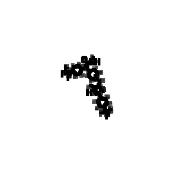 CNC(=O)N(c1ccc(C(F)(F)F)cc1)C1CCN(Cc2nc(-c3ccc(C(F)(F)F)cc3)[nH]c2C)CC1